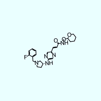 O=C(/C=C/c1cnc(N[C@@H]2CCN(Cc3ccccc3F)C2)cn1)NOC1CCCCO1